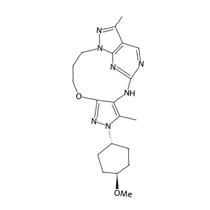 CO[C@H]1CC[C@H](n2nc3c(c2C)Nc2ncc4c(C)nn(c4n2)CCCO3)CC1